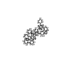 c1ccc(-c2nc(-c3ccccc3)nc(-c3cccc4oc5ccc(-c6ccc7c(c6)c6ncc8c(c6n7-c6ccccc6)-c6ccccc6C86c7ccccc7-c7ccccc76)cc5c34)n2)cc1